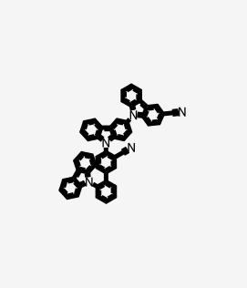 N#Cc1ccc2c(c1)c1ccccc1n2-c1ccc2c(c1)c1ccccc1n2-c1ccc(-c2ccccc2-n2c3ccccc3c3ccccc32)cc1C#N